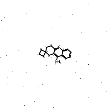 Nc1c2c(nc3ccccc13)CCC1(CCC1)C2